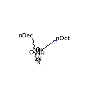 CCCCCCCC/C=C/CCCCCCCC(=O)NC(Cc1cn(C)cn1)C(=O)NCCCCCCCCCCCCCCCC